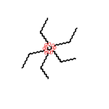 CCCCCCCC/C=C\CCCCCCCC(=O)OC[C@@H](OC(=O)CCCCCCC/C=C\CCCCCCCC)[C@H](OC(=O)CCCCCCC/C=C\CCCCCCCC)[C@H](OC(=O)CCCCCCC/C=C\CCCCCCCC)[C@H](C=O)OC(=O)CCCCCCC/C=C\CCCCCCCC